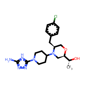 Nc1nnc(N2CCC(N3C[C@H]([C@H](O)C(F)(F)F)OC[C@@H]3Cc3ccc(Cl)cc3)CC2)[nH]1